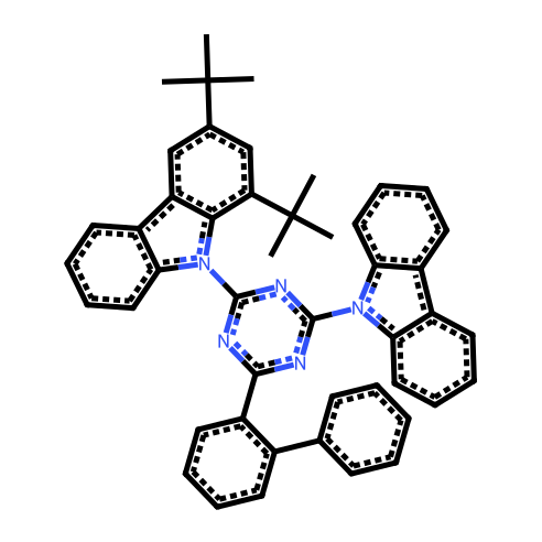 CC(C)(C)c1cc(C(C)(C)C)c2c(c1)c1ccccc1n2-c1nc(-c2ccccc2-c2ccccc2)nc(-n2c3ccccc3c3ccccc32)n1